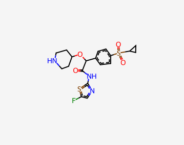 O=C(Nc1ncc(F)s1)C(OC1CCNCC1)c1ccc(S(=O)(=O)C2CC2)cc1